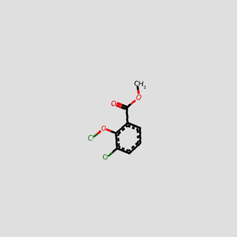 COC(=O)c1cccc(Cl)c1OCl